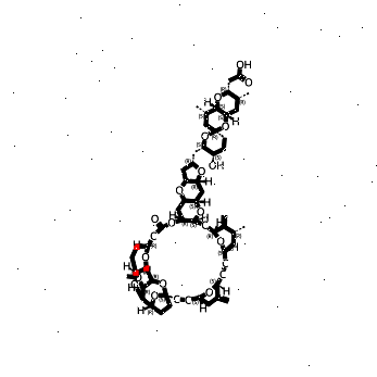 C=C1C[C@@H]2CC[C@]34CC[C@@H](O3)C3O[C@H]5CC[C@H](CC(=O)O[C@@H]6CC7OC8C[C@H](C[C@@H]9O[C@@]%10(CC[C@@H]9O)C[C@H](C)[C@@H]9O[C@H](CC(=O)O)[C@H](C)C[C@@H]9O%10)O[C@@H]8C[C@@H]7O[C@H]6C[C@H]6O[C@@H](CC[C@@H]1O2)C[C@@H](C)C6=C)O[C@@H]5[C@H](O4)[C@@H]3OC